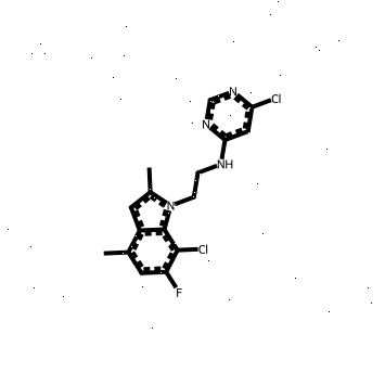 Cc1cc(F)c(Cl)c2c1cc(C)n2CCNc1cc(Cl)ncn1